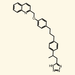 CC(Cc1nnn[nH]1)c1ccc(CCCc2ccc(OCc3ccc4ccccc4n3)cc2)cc1